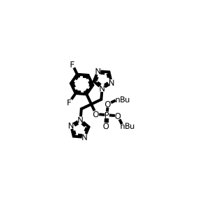 CCCCOP(=O)(OCCCC)OC(Cn1cncn1)(Cn1cncn1)c1ccc(F)cc1F